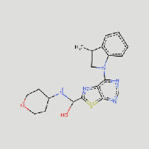 CC1CN(c2ncnc3sc(C(O)NC4CCOCC4)nc23)c2ccccc21